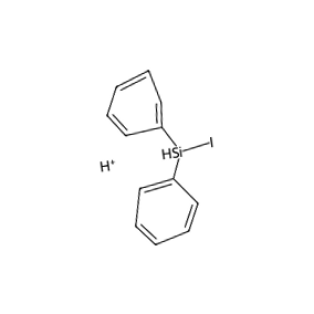 I[SiH](c1ccccc1)c1ccccc1.[H+]